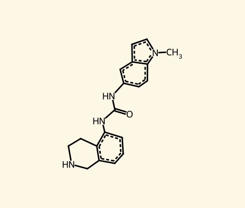 Cn1ccc2cc(NC(=O)Nc3cccc4c3CCNC4)ccc21